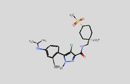 CCn1nc(C(=O)NC[C@]2(C(=O)O)CC[C@@H](S(C)(=O)=O)CC2)c(Cl)c1-c1ccc(N[C@H](C)C(F)(F)F)cc1OC